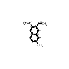 Bc1ccc2cc(OC)c(C=C)cc2c1